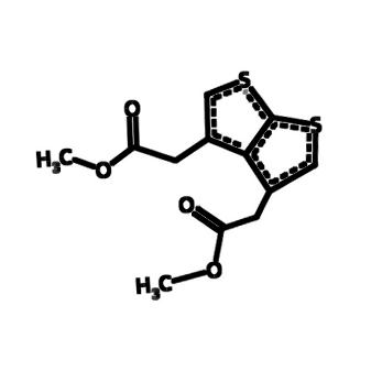 COC(=O)Cc1csc2scc(CC(=O)OC)c12